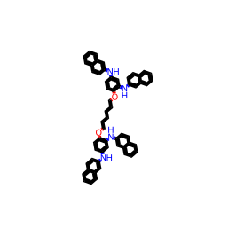 c1ccc2cc(Nc3ccc(OCCCCCCOc4ccc(Nc5ccc6ccccc6c5)cc4Nc4ccc5ccccc5c4)c(Nc4ccc5ccccc5c4)c3)ccc2c1